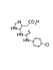 O=C(O)Cc1nc[nH]c1NC(=S)Nc1ccc(Cl)cc1